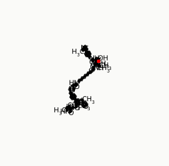 CCN(c1cc(-c2ccc(CN3CCN(CC(=O)NCCCCCCCCCOCC(=O)N[C@H](C(=O)N4C[C@H](O)C[C@H]4C(=O)NCc4ccc(-c5scnc5C)cc4)C(C)(C)C)CC3)cc2)cc(C(=O)NCc2c(C)cc(C)[nH]c2=O)c1C)C1CCOCC1